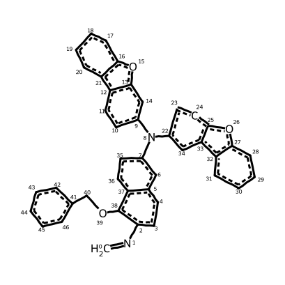 C=Nc1ccc2cc(N(c3ccc4c(c3)oc3ccccc34)c3ccc4oc5ccccc5c4c3)ccc2c1OCc1ccccc1